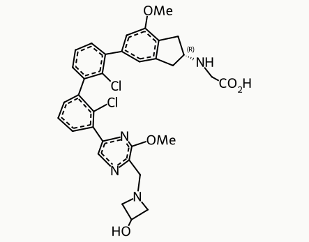 COc1cc(-c2cccc(-c3cccc(-c4cnc(CN5CC(O)C5)c(OC)n4)c3Cl)c2Cl)cc2c1C[C@H](NCC(=O)O)C2